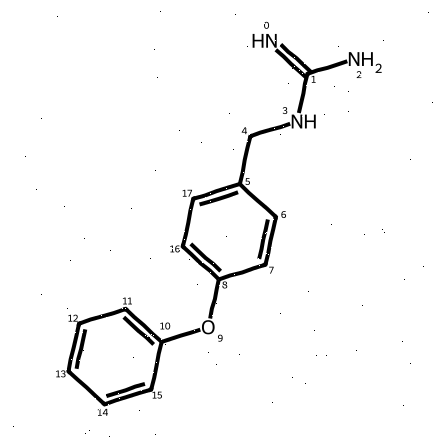 N=C(N)NCc1ccc(Oc2ccccc2)cc1